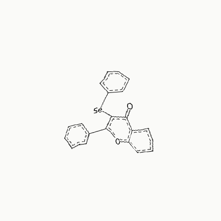 O=c1c([Se]c2ccccc2)c(-c2ccccc2)oc2ccccc12